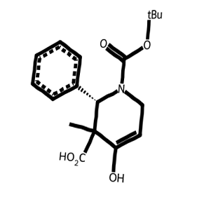 CC(C)(C)OC(=O)N1CC=C(O)C(C)(C(=O)O)[C@@H]1c1ccccc1